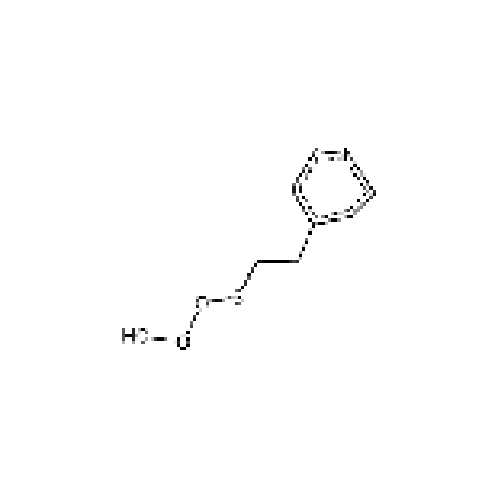 OOOSCCc1ccncc1